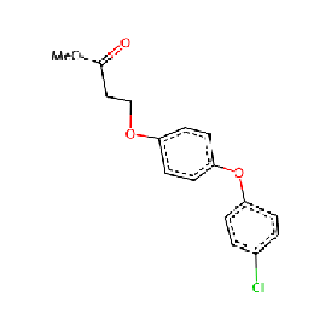 COC(=O)CCOc1ccc(Oc2ccc(Cl)cc2)cc1